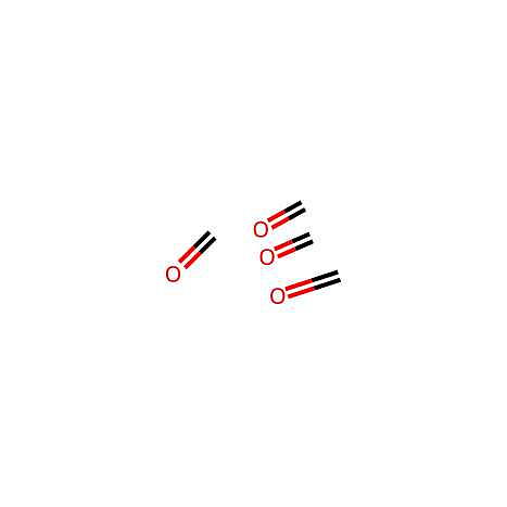 C=O.C=O.C=O.C=O